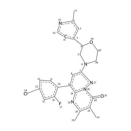 Cc1cc(C2CN(c3cc(-c4ccc(Cl)cc4F)c4nc(C)c(C)c(=O)n4n3)CCO2)ccn1